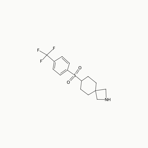 O=S(=O)(c1ccc(C(F)(F)F)cc1)C1CCC2(CC1)CNC2